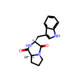 O=C1N[C@@H](Cc2c[nH]c3ccccc23)C(=O)N2CCC[C@@H]12